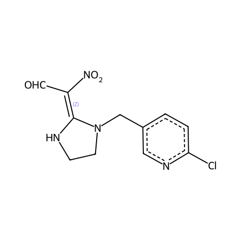 O=C/C(=C1\NCCN1Cc1ccc(Cl)nc1)[N+](=O)[O-]